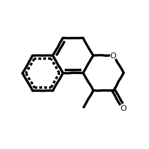 CC1C(=O)COC2CC=c3ccccc3=C21